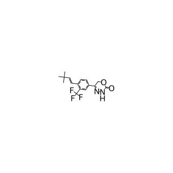 CC(C)(C)C=Cc1ccc(C2=NNC(=O)OC2)cc1C(F)(F)F